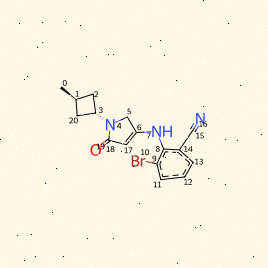 C[C@H]1C[C@H](N2CC(Nc3c(Br)cccc3C#N)=CC2=O)C1